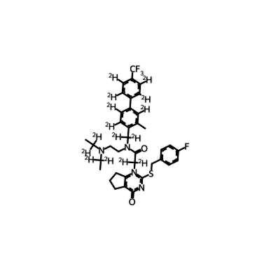 [2H]c1c([2H])c(C(F)(F)F)c([2H])c([2H])c1-c1c([2H])c([2H])c(C([2H])([2H])N(CCN(C([2H])([2H])C)C([2H])([2H])C)C(=O)C([2H])([2H])n2c(SCc3ccc(F)cc3)nc(=O)c3c2CCC3)c(C)c1[2H]